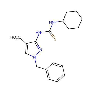 O=C(O)c1cn(Cc2ccccc2)nc1NC(=S)NC1CCCCC1